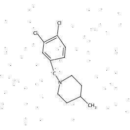 CC1CCN(Cc2ccc(Cl)c(Cl)c2)CC1